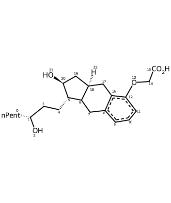 CCCCC[C@@H](O)CC[C@H]1C2Cc3cccc(OCC(=O)O)c3C[C@@H]2C[C@@H]1O